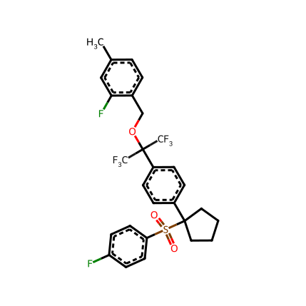 Cc1ccc(COC(c2ccc(C3(S(=O)(=O)c4ccc(F)cc4)CCCC3)cc2)(C(F)(F)F)C(F)(F)F)c(F)c1